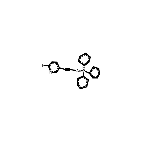 Fc1ccc(C#[C][Au][PH](c2ccccc2)(c2ccccc2)c2ccccc2)cn1